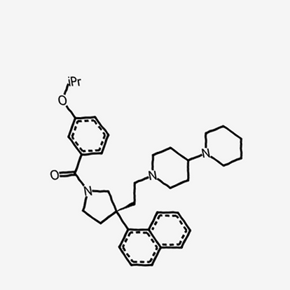 CC(C)Oc1cccc(C(=O)N2CC[C@@](CCN3CCC(N4CCCCC4)CC3)(c3cccc4ccccc34)C2)c1